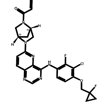 C=CC(=O)N1C[C@@H]2C[C@H]1CN2c1ccc2ncnc(Nc3ccc(OCC4(F)CC4)c(Cl)c3F)c2n1